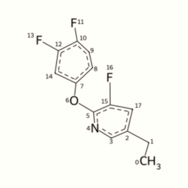 CCc1cnc(Oc2ccc(F)c(F)c2)c(F)c1